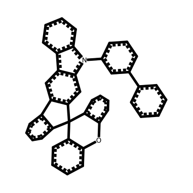 c1ccc(-c2cccc(-n3c4ccccc4c4cc5c(cc43)C3(c4ccccc4Oc4ccccc43)c3ccccc3-5)c2)cc1